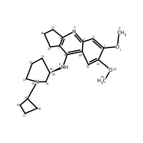 COc1cc2nc3c(c(N[C@@H]4CCCN(C5CCC5)C4)c2cc1OC)CCC3